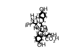 CC(C)[C@H](N)C(=O)N[C@@H](Cc1ccc(O)cc1)C(=O)N[C@@H](Cc1ccc(O)cc1)C(=O)N[C@@H](CS)C(=O)O